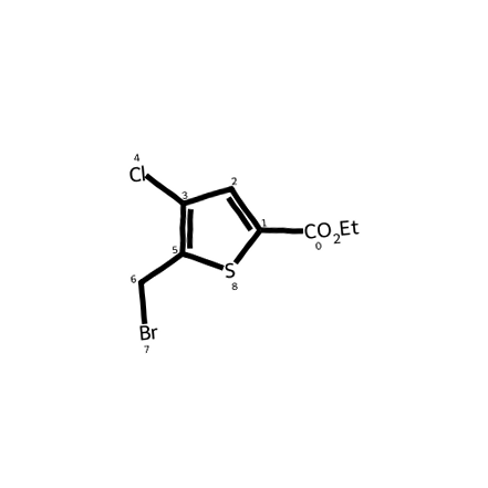 CCOC(=O)c1cc(Cl)c(CBr)s1